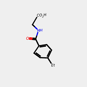 CCc1ccc(C(=O)NCC(=O)O)cc1